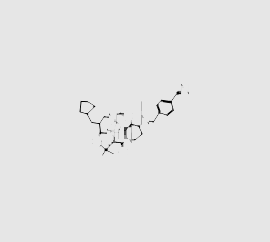 CC(C)(C)[C@H](NC(=O)C(CC1CCCC1)CN(O)C=O)C(=O)N1CCC(NCc2ccc(C#N)cc2)CC1